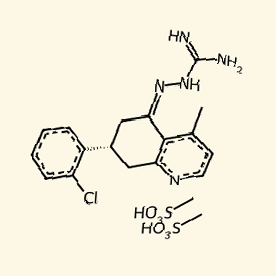 CS(=O)(=O)O.CS(=O)(=O)O.Cc1ccnc2c1/C(=N\NC(=N)N)C[C@@H](c1ccccc1Cl)C2